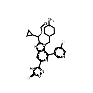 CCOC(c1nc2cc(-c3noc(=O)[nH]3)nc(-c3cncc(Cl)c3)c2n1CC1CCC(C)CC1)C1CC1